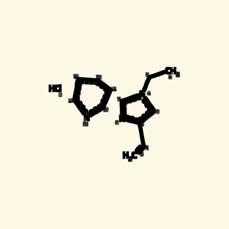 C=Cc1cn(CC)cn1.Cl.c1ccncc1